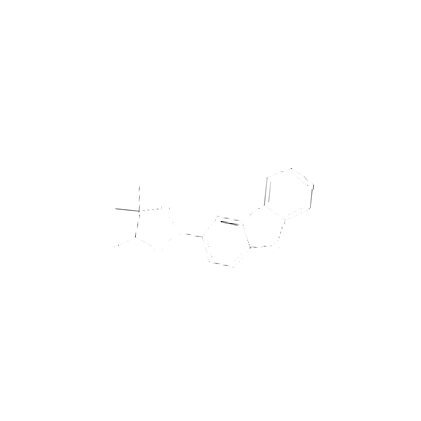 CC1OB(c2ccc3sc4ccccc4c3c2)OC1(C)C